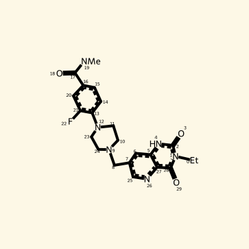 CCn1c(=O)[nH]c2cc(CN3CCN(c4ccc(C(=O)NC)cc4F)CC3)cnc2c1=O